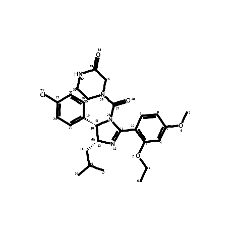 CCOc1cc(OC)ccc1C1=N[C@H](CC(C)C)[C@H](c2ccc(Cl)cc2)N1C(=O)N1CCNC(=O)C1